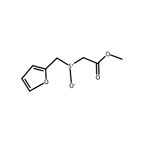 COC(=O)C[S+]([O-])Cc1ccco1